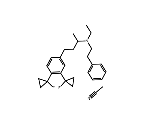 CC#N.CCN(CCc1ccccc1)C(C)CCc1ccc(C2(F)CC2)c(C2(F)CC2)c1